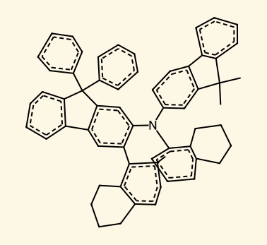 Cc1ccc2c(c1-c1cc3c(cc1N(c1ccc4c(c1)C(C)(C)c1ccccc1-4)c1cccc4c1CCCC4)C(c1ccccc1)(c1ccccc1)c1ccccc1-3)CCCC2